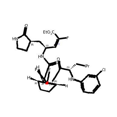 CCOC(=O)/C(F)=C\[C@H](C[C@H]1CCNC1=O)NC(=O)[C@H]1[C@H]2CC[C@H](CC2(F)F)N1C(=O)[C@H](CC(C)C)Nc1cccc(Cl)c1